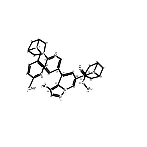 COc1ccc(CN2C3CC2CN(c2ccc(-c4cc(N5CC6CC(C5)N6C(=O)OC(C)(C)C)cn5ncc(C#N)c45)cn2)C3)cn1